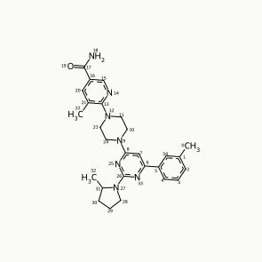 Cc1cccc(-c2cc(N3CCN(c4ncc(C(N)=O)cc4C)CC3)nc(N3CCCC3C)n2)c1